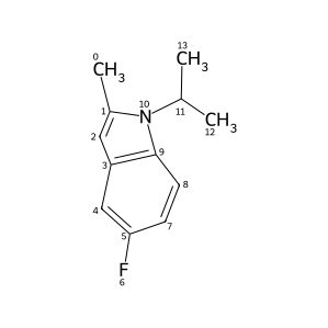 Cc1cc2cc(F)ccc2n1C(C)C